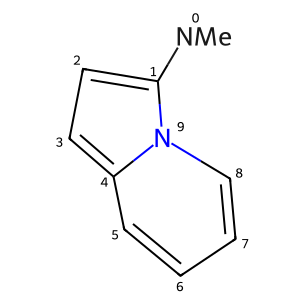 CNc1ccc2ccccn12